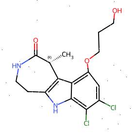 C[C@H]1C(=O)NCCc2[nH]c3c(Cl)c(Cl)cc(OCCCO)c3c21